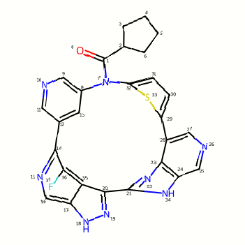 O=C(C1CCCC1)n1c2cncc(c2)c2ncc3[nH]nc(c4nc5c(cncc5c5ccc1s5)[nH]4)c3c2F